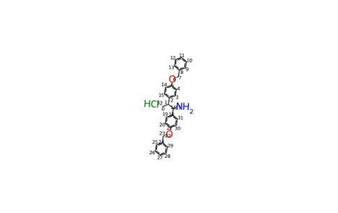 CC(c1ccc(OCc2ccccc2)cc1)C(N)c1ccc(OCc2ccccc2)cc1.Cl